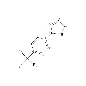 FC(F)(F)c1ccc(N2C=CCN2)cc1